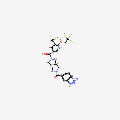 O=C(c1cnc(OCC(F)(F)F)c(C(F)(F)F)c1)N1CC2CN(C(=O)c3ccc4[nH]nnc4c3)CC2C1